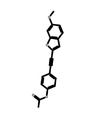 COc1ccc2cc(C#Cc3ccc(OC(C)=O)cc3)oc2c1